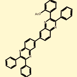 CC(=O)Oc1ccccc1-c1nc2cc(-c3ccc4nc(-c5ccccc5)c(-c5ccccc5)nc4c3)ccc2nc1-c1ccccc1